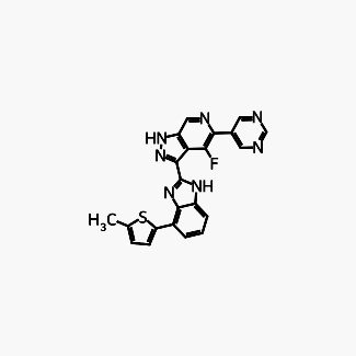 Cc1ccc(-c2cccc3[nH]c(-c4n[nH]c5cnc(-c6cncnc6)c(F)c45)nc23)s1